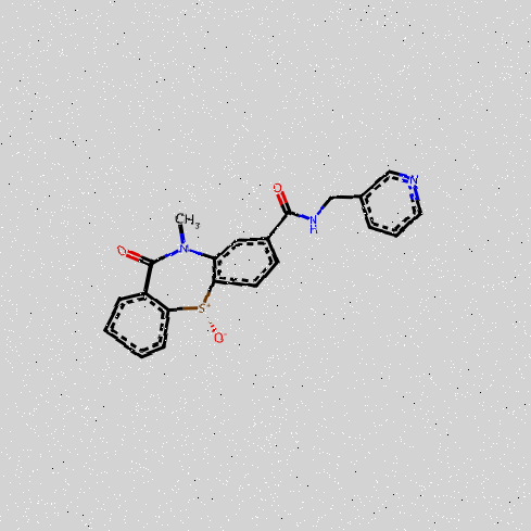 CN1C(=O)c2ccccc2[S@@+]([O-])c2ccc(C(=O)NCc3cccnc3)cc21